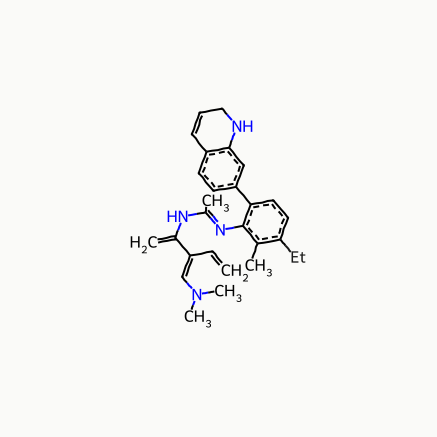 C=C/C(=C\N(C)C)C(=C)N/C(C)=N/c1c(-c2ccc3c(c2)NCC=C3)ccc(CC)c1C